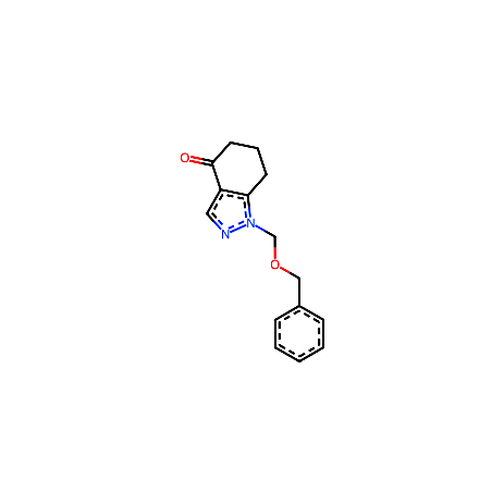 O=C1CCCc2c1cnn2COCc1ccccc1